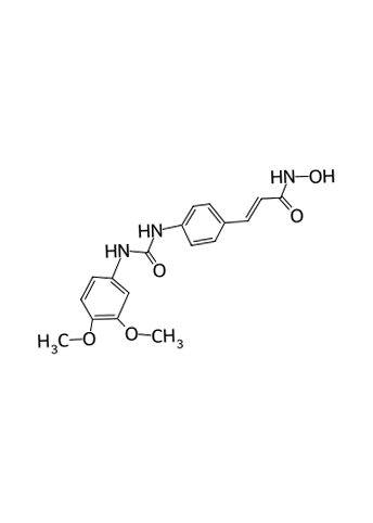 COc1ccc(NC(=O)Nc2ccc(/C=C/C(=O)NO)cc2)cc1OC